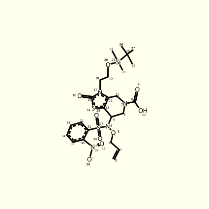 C=CCON(C1CN(C(=O)O)Cc2c1sc(=O)n2CCO[Si](C)(C)C(C)(C)C)S(=O)(=O)c1ccccc1[N+](=O)[O-]